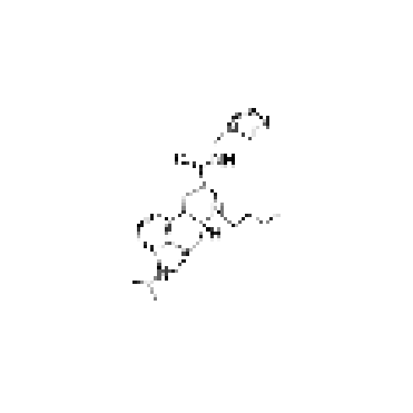 CCCCN1C[C@H](C(=O)NCn2ccnc2)CC2c3cccc4c3c(cn4C(C)C)C[C@H]21